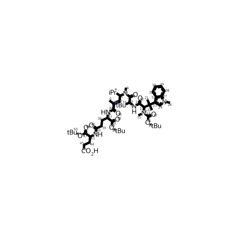 C/C(=C\C(C(C)C)N(C)C(=O)C(NC(=O)C(N(C)C(=O)OC(C)(C)C)C(C)(C)c1cn(C)c2ccccc12)C(C)(C)C)C(=O)NC(CCC(=O)NC(CCC(=O)O)C(=O)OC(C)(C)C)C(=O)OC(C)(C)C